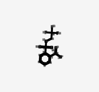 O=[N+]([O-])c1ccccc1S(=O)(=O)OCC(F)(F)F